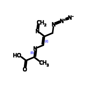 C=N/C(=C\N=C(/C)C(=O)O)CN=[N+]=[N-]